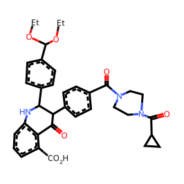 CCOC(OCC)c1ccc(C2Nc3cccc(C(=O)O)c3C(=O)C2c2ccc(C(=O)N3CCN(C(=O)C4CC4)CC3)cc2)cc1